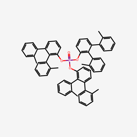 Cc1ccccc1-c1cccc(OP(=O)(Oc2cccc(-c3ccccc3C)c2-c2ccccc2C)Oc2cccc(-c3ccccc3C)c2-c2ccccc2C)c1-c1ccccc1C